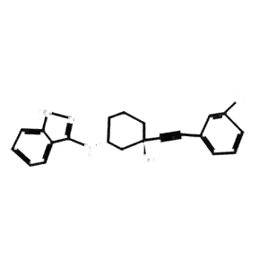 O[C@]1(C#Cc2cccc(Cl)c2)CCC[C@@H](Nc2n[nH]c3ccccc23)C1